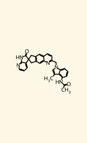 CC(=O)Nc1cccc2c1c(C)cn2Cc1ccc2cc3c(cc2n1)CC1(C3)C(=O)Nc2ncccc21